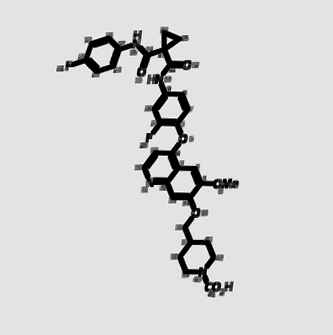 COc1cc2c(Oc3ccc(NC(=O)C4(C(=O)Nc5ccc(F)cc5)CC4)cc3F)ccnc2cc1OCC1CCN(C(=O)O)CC1